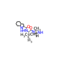 CC(C)(C)C(NC(=O)c1cc2ccccc2[nH]1)C(=O)N1C[C@H]2NCC21C